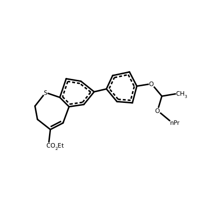 CCCOC(C)Oc1ccc(-c2ccc3c(c2)C=C(C(=O)OCC)CCS3)cc1